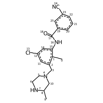 Cc1c(CN2CCNC(C)C2)cc(Cl)cc1NC(=O)c1cccc(C#N)c1